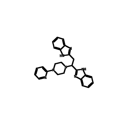 c1ccc(N2CCN(C(Cc3nc4ccccc4[nH]3)c3nc4ccccc4[nH]3)CC2)nc1